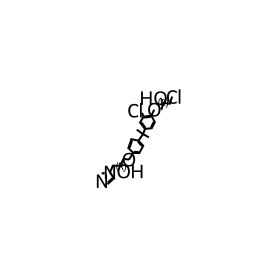 CC(C)(c1ccc(OC[C@H](O)Cn2ccnc2)cc1)c1ccc(OC[C@@H](O)CCl)c(Cl)c1